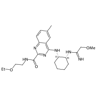 CCOCCNC(=O)c1nc(N[C@H]2CCCC[C@H]2NC(=N)COC)c2cc(C)ccc2n1